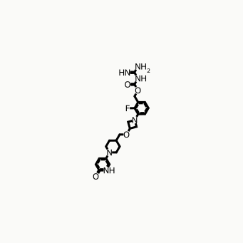 N=C(N)NC(=O)OCc1cccc(N2CC(OCC3CCN(c4ccc(=O)[nH]c4)CC3)C2)c1F